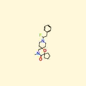 CN1CC2(CCN(C(F)Cc3ccccc3)CC2)OC2(CCCC2)C1=O